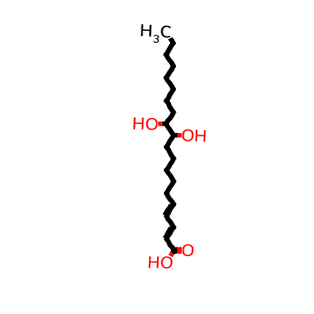 CCCCCCCCC(O)C(O)CCCCCC=CC=CC(=O)O